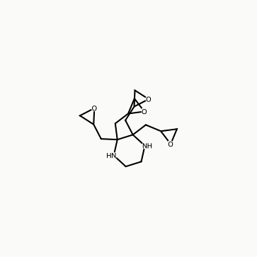 C1CNC(CC2CO2)(CC2CO2)C(CC2CO2)(CC2CO2)N1